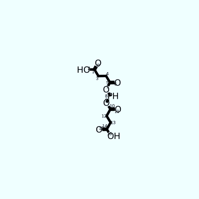 O=C(O)CCC(=O)OPOC(=O)CCC(=O)O